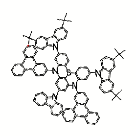 CC(C)(C)c1ccc2c(c1)c1cc(C(C)(C)C)ccc1n2-c1ccc2c(c1)N(c1ccc3c4ccccc4c4ccccc4c3c1)c1cc(-n3c4ccccc4c4ccccc43)cc3c1B2c1ccc(-n2c4ccc(C(C)(C)C)cc4c4cc(C(C)(C)C)ccc42)cc1N3c1ccc2c3ccccc3c3ccccc3c2c1